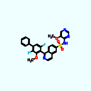 COc1cncnc1NS(=O)(=O)c1ccc2c(-c3c(F)cc(-c4ccccc4)c(F)c3OC)nccc2c1